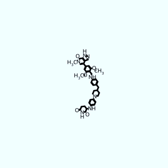 COc1cc(-c2cn(C)c(=O)c3[nH]ncc23)cc(OC)c1CNc1ccc(CC2CCN(c3ccc(NC4CCC(=O)NC4=O)cc3)CC2)cc1